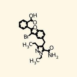 CCc1nn(CC)c(C(N)=O)c1Cc1ccc2oc(-c3ccccc3C(=O)O)c(Br)c2c1